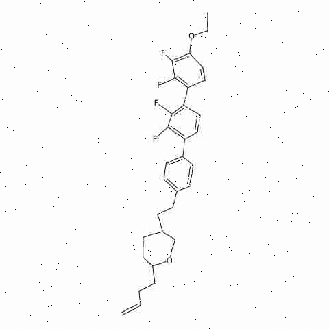 C=CCCC1CCC(CCc2ccc(-c3ccc(-c4ccc(OCC)c(F)c4F)c(F)c3F)cc2)CO1